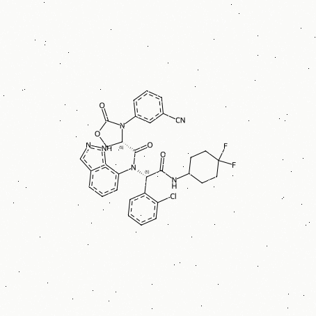 N#Cc1cccc(N2C(=O)OC[C@H]2C(=O)N(c2cccc3cn[nH]c23)[C@H](C(=O)NC2CCC(F)(F)CC2)c2ccccc2Cl)c1